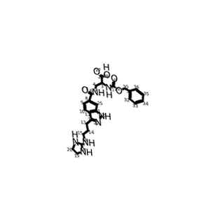 O=C(NC(CNC(=O)c1ccc2c(CCCNC3NCCN3)n[nH]c2c1)C(=O)O)OCc1ccccc1